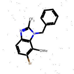 COc1c(Br)ccc2nc(C(F)(F)F)n(Cc3ccccc3)c12